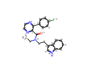 O=C(c1nccnc1-c1ccc(F)cc1)N(CCc1c[nH]c2ccccc12)CC(F)(F)F